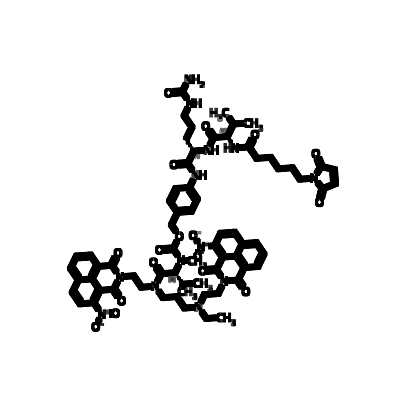 CCN(CCCN(CCN1C(=O)c2cccc3ccc([N+](=O)[O-])c(c23)C1=O)C(=O)[C@@H](C(C)C)N(C)C(=O)OCc1ccc(NC(=O)[C@H](CCCNC(N)=O)NC(=O)[C@@H](NC(=O)CCCCCN2C(=O)C=CC2=O)C(C)C)cc1)CCN1C(=O)c2cccc3ccc([N+](=O)[O-])c(c23)C1=O